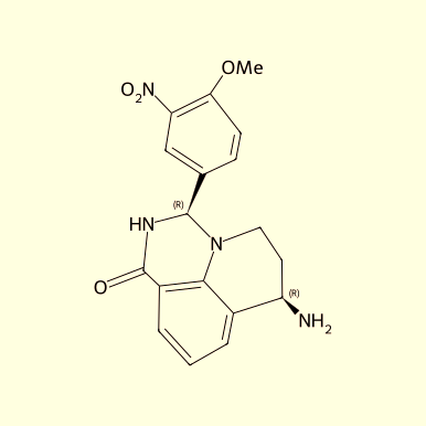 COc1ccc([C@@H]2NC(=O)c3cccc4c3N2CC[C@H]4N)cc1[N+](=O)[O-]